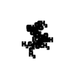 CCC(C)CC(=O)O[C@@H](C)CC(N)(Cc1ccc(OC(=O)OC)c(OC(=O)OC)c1)C(=O)O